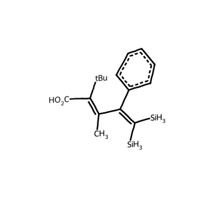 CC(C(=C([SiH3])[SiH3])c1ccccc1)=C(C(=O)O)C(C)(C)C